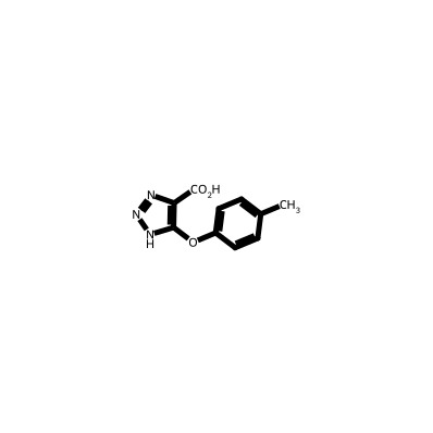 Cc1ccc(Oc2[nH]nnc2C(=O)O)cc1